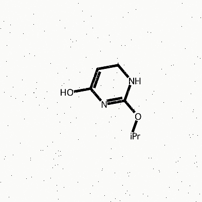 CC(C)OC1=NC(O)=C[CH]N1